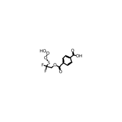 O=C(O)c1ccc(C(=O)OCC(F)(F)SOOO)cc1